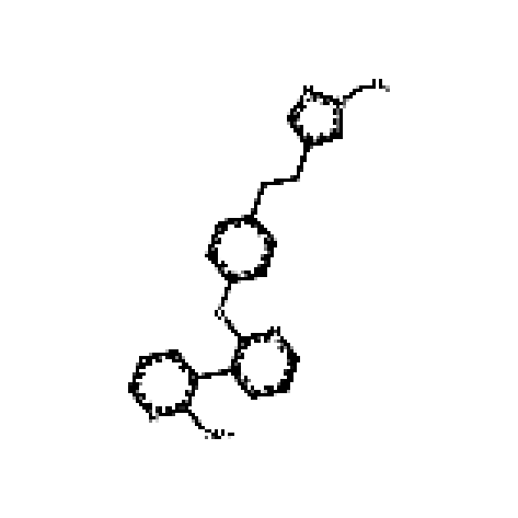 COc1ncccc1-c1cccnc1Oc1ccc(CCc2cnn(C)c2)cc1